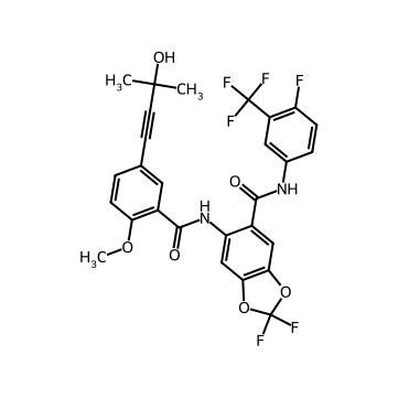 COc1ccc(C#CC(C)(C)O)cc1C(=O)Nc1cc2c(cc1C(=O)Nc1ccc(F)c(C(F)(F)F)c1)OC(F)(F)O2